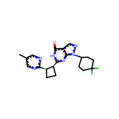 Cc1cnc([C@@H]2CC[C@@H]2c2nc3c(cnn3C3CCC(F)(F)CC3)c(=O)[nH]2)nc1